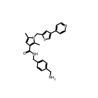 Cc1cc(C(=O)NCc2ccc(CN)cc2)c(C)n1Cc1cc(-c2ccncc2)cs1